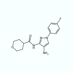 Nc1cn(-c2ccc(F)cc2)nc1NC(=O)C1CCOCC1